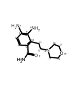 NC(=O)c1ccc(N)c(N)c1CCN1CCOCC1